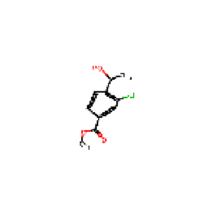 COC(=O)c1ccc(C(C)O)c(Cl)c1